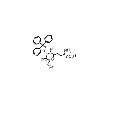 CC(=O)CNC(=O)[C@H](CSC(c1ccccc1)(c1ccccc1)c1ccccc1)NC(=O)CC[C@H](N)C(=O)O